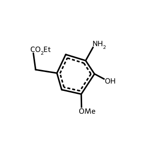 CCOC(=O)Cc1cc(N)c(O)c(OC)c1